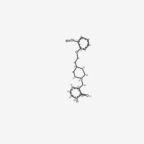 COc1ccccc1OCCC1CCN(Cc2ncc[nH]c2=O)CC1